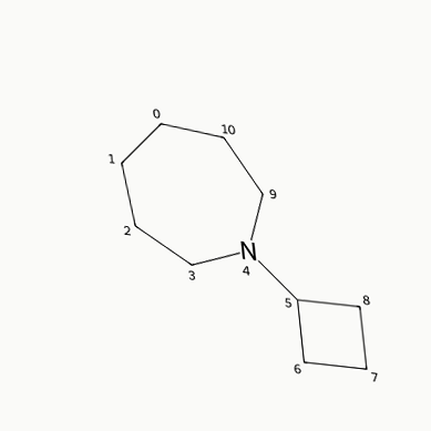 C1CCCN(C2CCC2)CC1